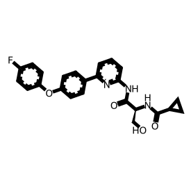 O=C(N[C@@H](CO)C(=O)Nc1cccc(-c2ccc(Oc3ccc(F)cc3)cc2)n1)C1CC1